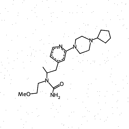 COCCN(C(N)=O)C(C)Cc1ccnc(N2CCN(C3CCCC3)CC2)c1